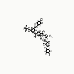 CC(C)(CNC(=O)C(=O)NCc1ccc(I)cc1)CNC(=O)c1ccc(Nc2cc(NCc3ccc(Cl)cc3)nc(OCC(F)(F)F)n2)nc1